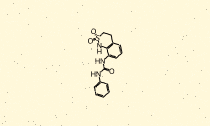 O=C(Nc1ccccc1)Nc1cccc2c1NS(=O)(=O)CC2